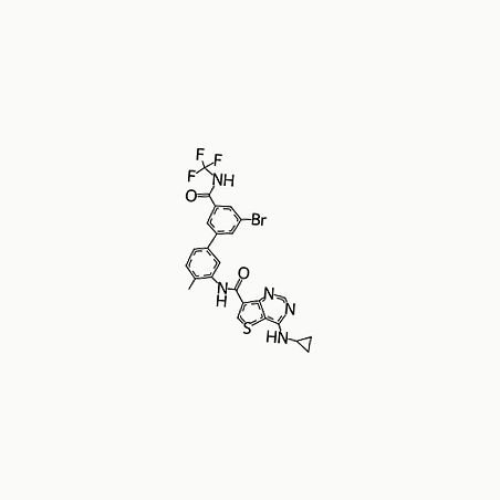 Cc1ccc(-c2cc(Br)cc(C(=O)NC(F)(F)F)c2)cc1NC(=O)c1csc2c(NC3CC3)ncnc12